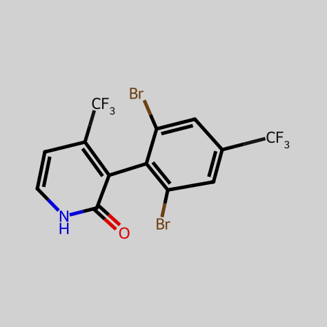 O=c1[nH]ccc(C(F)(F)F)c1-c1c(Br)cc(C(F)(F)F)cc1Br